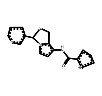 O=C(Nc1ccn2c1CSC2c1cccnc1)c1ccc[nH]1